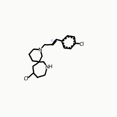 Clc1ccc(/C=C/CN2CCCC3(CNCCC(Cl)C3)C2)cc1